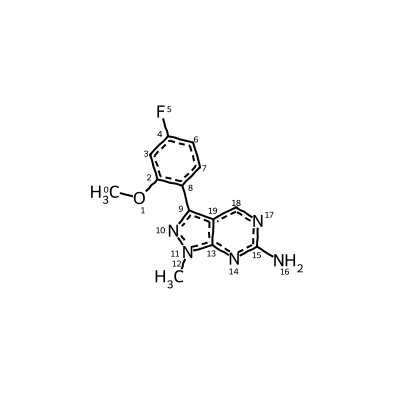 COc1cc(F)ccc1-c1nn(C)c2nc(N)ncc12